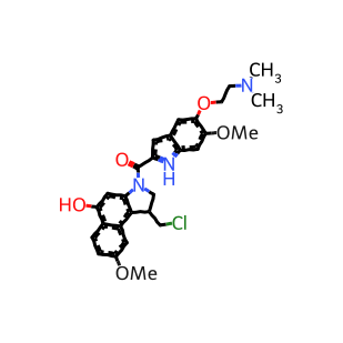 COc1ccc2c(O)cc3c(c2c1)C(CCl)CN3C(=O)c1cc2cc(OCCN(C)C)c(OC)cc2[nH]1